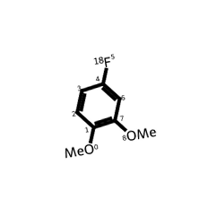 COc1ccc([18F])cc1OC